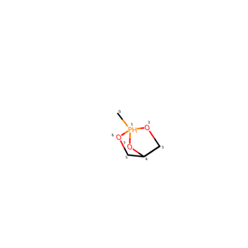 C[PH]12OCC(CO1)O2